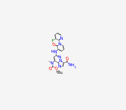 CN(C(=O)OC(C)(C)C)c1cc(Nc2cccn(-c3ncccc3F)c2=O)nn2c(C(N)=O)cnc12